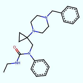 CCNC(=O)N(CC1(N2CCN(Cc3ccccc3)CC2)CC1)c1ccccc1